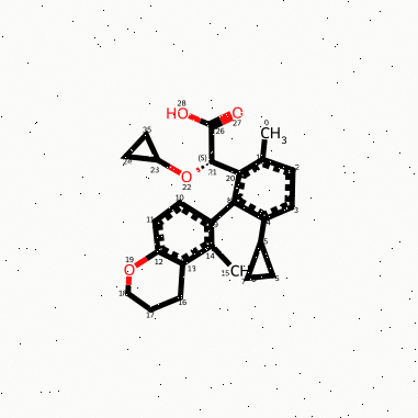 Cc1ccc(C2CC2)c(-c2ccc3c(c2C)CCCO3)c1[C@H](OC1CC1)C(=O)O